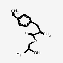 C=Cc1ccc(CC(=C)C(=O)OCC(C)O)cc1